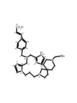 CC(C)(C)CN1CCC2(CC1)CCN(CCCn1ccnc1CN(Cc1ccc(/C=C/C(=O)O)cc1)Cc1ncc[nH]1)C2